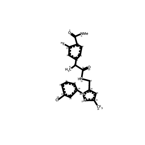 CNC(=O)c1ccc(C(C)C(=O)NCc2cc(C(F)(F)F)nn2-c2cccc(Cl)c2)cc1F